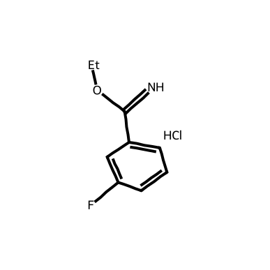 CCOC(=N)c1cccc(F)c1.Cl